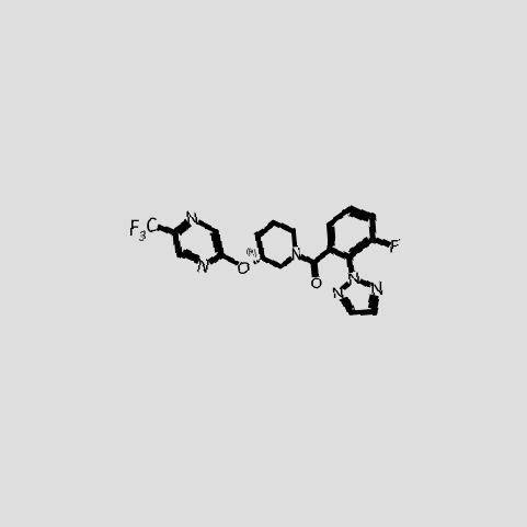 O=C(c1cccc(F)c1-n1nccn1)N1CCC[C@@H](Oc2cnc(C(F)(F)F)cn2)C1